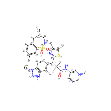 C=N/C=C(\C=C/C)NC(=O)C(C)(C)[C@@H](c1nc(CN2C[C@@H](CC)Cc3ccc(C)cc3S2(=O)=O)c(C)s1)c1ccc2c(nnn2CC)c1C